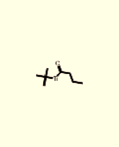 CCC[C](=O)[Ti][C](C)(C)C